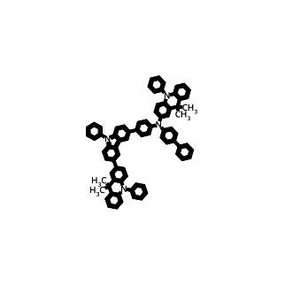 CC1(C)c2ccccc2N(c2ccccc2)c2ccc(-c3ccc4c(c3)c3cc(-c5ccc(N(c6ccc(-c7ccccc7)cc6)c6ccc7c(c6)C(C)(C)c6ccccc6N7c6ccccc6)cc5)ccc3n4-c3ccccc3)cc21